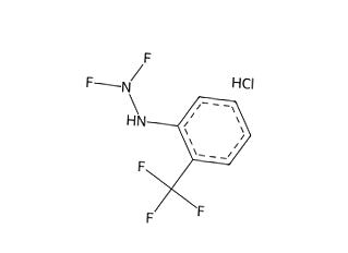 Cl.FN(F)Nc1ccccc1C(F)(F)F